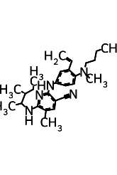 C=Cc1cc(Nc2nc(NC(C)[C@@H](C)CC)c(C)cc2C#N)ccc1N(C)CCCC